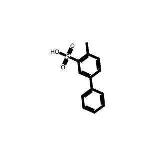 Cc1ccc(-c2ccccc2)cc1S(=O)(=O)O